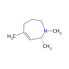 CC1=C[C@@H](C)N(C)CCC1